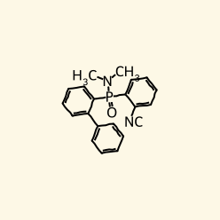 CN(C)P(=O)(c1ccccc1C#N)c1ccccc1-c1ccccc1